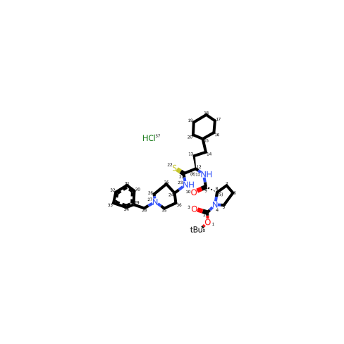 CC(C)(C)OC(=O)N1CCC[C@H]1C(=O)N[C@H](CCC1CCCCC1)C(=S)NC1CCN(Cc2ccccc2)CC1.Cl